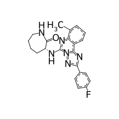 Cc1cccc2c1nc(N[C@@H]1CCCCNC1=O)n1nc(-c3ccc(F)cc3)nc21